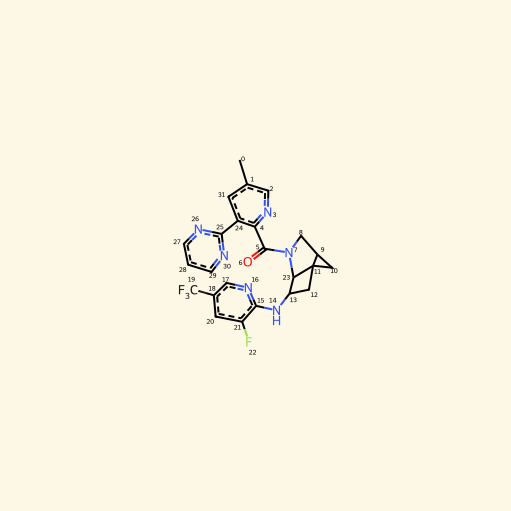 Cc1cnc(C(=O)N2CC3CC34CC(Nc3ncc(C(F)(F)F)cc3F)C24)c(-c2ncccn2)c1